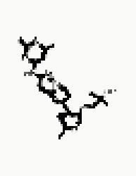 Cc1cc(-c2ccn3nc(Nc4cc(C)nc(C)n4)cc3c2)c(OCC(C)(C)O)cn1